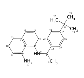 CC(NC1CC=CC2=C1C(N)=CCC2)c1ccc(C(C)(C)C)cc1